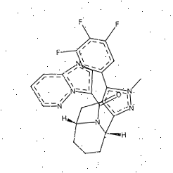 Cn1nc2c(c1-c1cc(F)c(F)c(F)c1)C[C@H]1CCC[C@@H]2N1C(=O)c1cnc2cccnn12